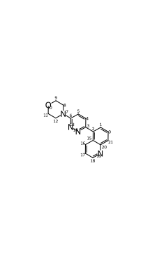 c1cc(-c2ccc(N3CCOCC3)nn2)c2cccnc2c1